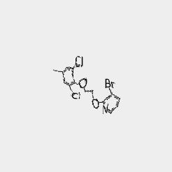 Cc1cc(Cl)c(OCCOc2ncccc2Br)c(Cl)c1